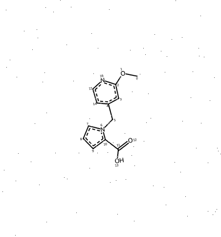 COc1cc(Cn2cccc2C(=O)O)ccn1